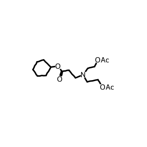 CC(=O)OCCN(CCOC(C)=O)CCC(=O)OC1CCCCC1